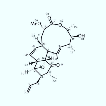 C=CC[C@H]1[C@@H]2O[C@@]34/C(C)=C/[C@@H](C)[C@H](O)[C@@H](C)OC(=O)[C@@H](OC)C[C@H]3C=C[C@@H]2[C@H]4C(=O)[C@@H]1C